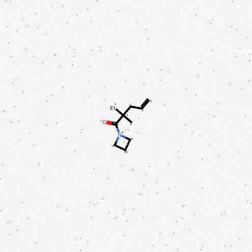 C=CCC(C)(CC)C(=O)N1CCC1